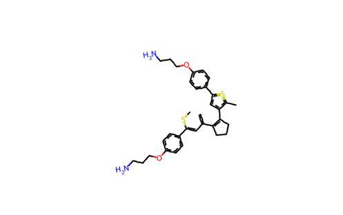 C=C(/C=C(\SC)c1ccc(OCCCN)cc1)C1=C(c2cc(-c3ccc(OCCCN)cc3)sc2C)CCC1